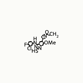 C=CC(=O)N1CCC(c2cc3c(Nc4ccc(F)c(Cl)c4)nc(S)nc3cc2OC)C1